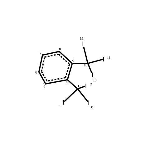 IC(I)(I)c1[c]cccc1C(I)(I)I